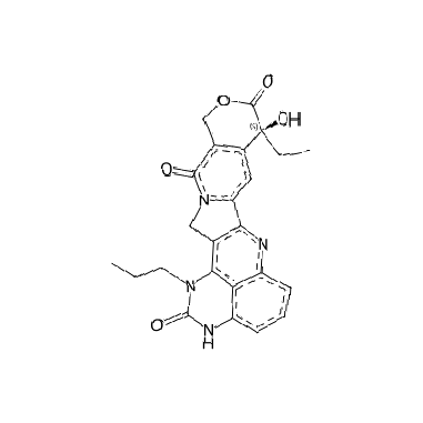 CCCN1C(=O)Nc2cccc3nc4c(c1c23)Cn1c-4cc2c(c1=O)COC(=O)[C@]2(O)CC